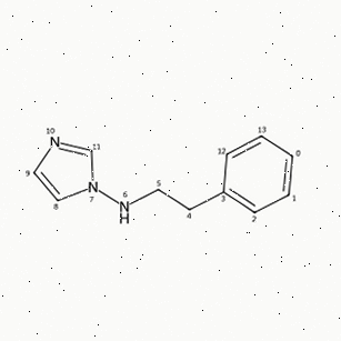 c1ccc(CCNn2ccnc2)cc1